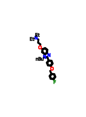 CCCCn1c(-c2ccc(OCc3ccc(F)cc3)cc2)nc2ccc(OCCCN(CC)CC)cc21